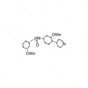 COc1cccc(CC(=O)Nc2ccc(-c3ccncc3)c(OC)c2)c1